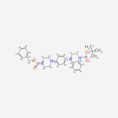 CC(C)(C)OC(=O)N1CCN(c2ccc(N3CCN(C(=O)OCc4ccccc4)CC3)cc2)c2ccccc21